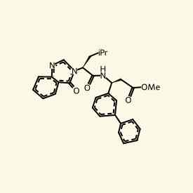 COC(=O)C[C@H](NC(=O)[C@H](CC(C)C)n1cnc2ccccc2c1=O)c1cccc(-c2ccccc2)c1